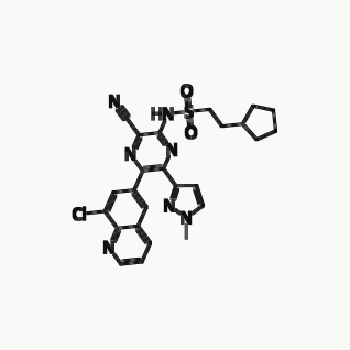 Cn1ccc(-c2nc(NS(=O)(=O)CCC3CCCC3)c(C#N)nc2-c2cc(Cl)c3ncccc3c2)n1